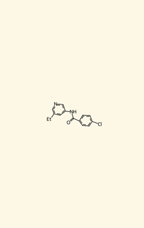 CCc1cncc(NC(=O)c2ccc(Cl)cc2)c1